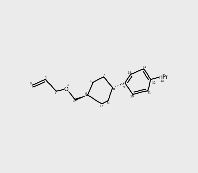 C=CCOC[C@H]1CC[C@H](c2ccc(CCC)cc2)CC1